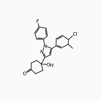 CC1C=C(c2cc(C3(O)CCC(=O)CC3)nn2-c2ccc(F)cc2)C=CC1Cl